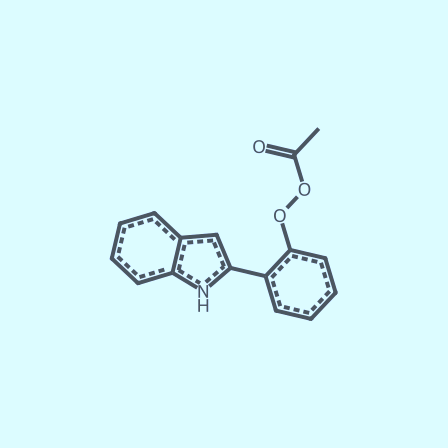 CC(=O)OOc1ccccc1-c1cc2ccccc2[nH]1